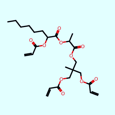 C=CC(=O)OCC(C)(COC(=O)C=C)COC(=O)C(C)OC(=O)C(CCCCCC)OC(=O)C=C